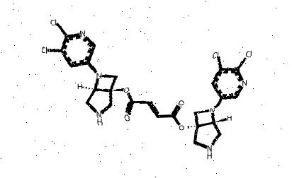 O=C(/C=C/C(=O)O[C@@]12CNC[C@H]1N(c1cnc(Cl)c(Cl)c1)C2)O[C@@]12CNC[C@H]1N(c1cnc(Cl)c(Cl)c1)C2